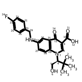 CC(C)(C)[C@@H](CO)n1cc(C(=O)O)c(=O)c2cc(NCc3ccc(F)cc3)ccc21